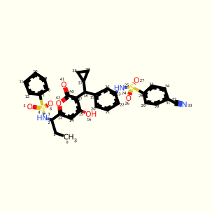 CCC(NS(=O)(=O)c1ccccc1)c1cc(O)c(C(c2cccc(NS(=O)(=O)c3ccc(C#N)cc3)c2)C2CC2)c(=O)o1